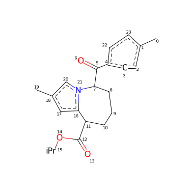 Cc1ccc(C(=O)C2CCCC(C(=O)OC(C)C)c3cc(C)cn32)cc1